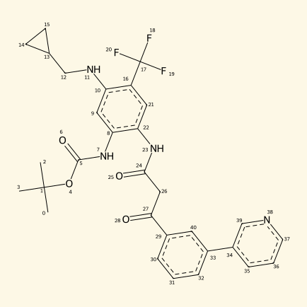 CC(C)(C)OC(=O)Nc1cc(NCC2CC2)c(C(F)(F)F)cc1NC(=O)CC(=O)c1cccc(-c2cccnc2)c1